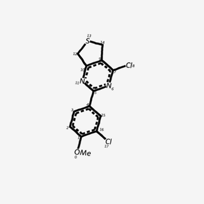 COc1ccc(-c2nc(Cl)c3c(n2)CSC3)cc1Cl